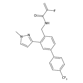 C=C(F)C(=O)NCc1ccc(-c2ccc(C(F)(F)F)cc2)cc1-c1ccn(C)n1